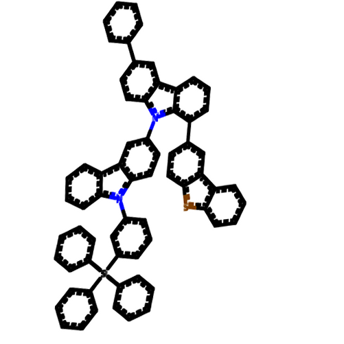 c1ccc(-c2ccc3c(c2)c2cccc(-c4ccc5sc6ccccc6c5c4)c2n3-c2ccc3c(c2)c2ccccc2n3-c2cccc([Si](c3ccccc3)(c3ccccc3)c3ccccc3)c2)cc1